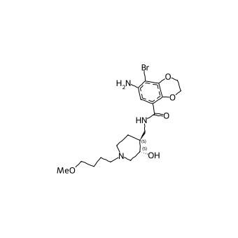 COCCCCN1CC[C@@H](CNC(=O)c2cc(N)c(Br)c3c2OCCO3)[C@H](O)C1